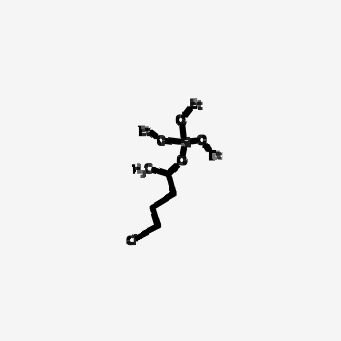 CCO[Si](OCC)(OCC)OC(C)CCCCl